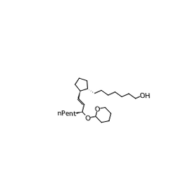 CCCCC[C@@H](/C=C/[C@H]1CCC[C@@H]1CCCCCCCO)OC1CCCCO1